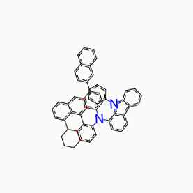 c1ccc(-n2c3ccccc3c3cccc(N(c4ccc(-c5ccc6ccccc6c5)cc4)c4ccccc4-c4cccc5cccc(C6CCCCC6)c45)c32)cc1